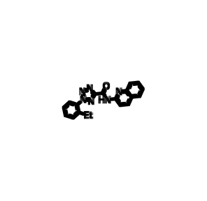 CCc1ccccc1-n1nnc(C(=O)Nc2ccc3ccccc3n2)n1